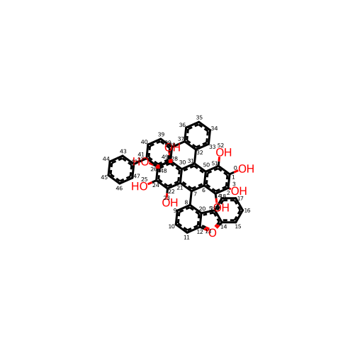 Oc1c(O)c(O)c2c(-c3cccc4oc5ccccc5c34)c3c(O)c(O)c(O)c(O)c3c(-c3ccccc3-c3ccc(-c4ccccc4)cc3)c2c1O